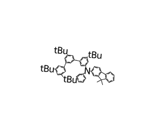 CC(C)(C)c1cc(-c2cc(N(c3ccccc3)c3ccc4c(c3)C(C)(C)c3ccccc3-4)cc(C(C)(C)C)c2)cc(-c2cc(C(C)(C)C)cc(C(C)(C)C)c2)c1